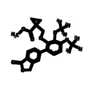 [2H]C([2H])([2H])Oc1ccc(-c2ccc3c(c2)COC3=O)c(OCC2(C(=O)OC)CC2)c1OC([2H])([2H])[2H]